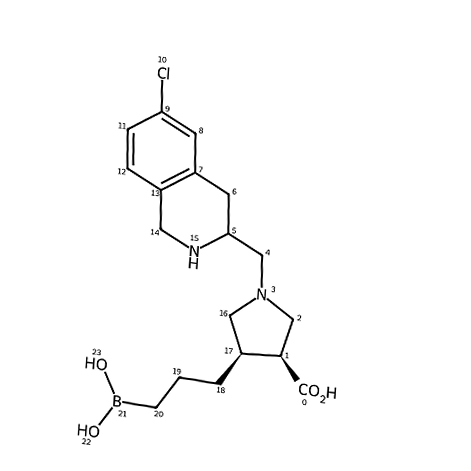 O=C(O)[C@@H]1CN(CC2Cc3cc(Cl)ccc3CN2)C[C@@H]1CCCB(O)O